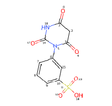 O=C1CC(=O)N(c2cccc(S(=O)(=O)O)c2)C(=O)N1